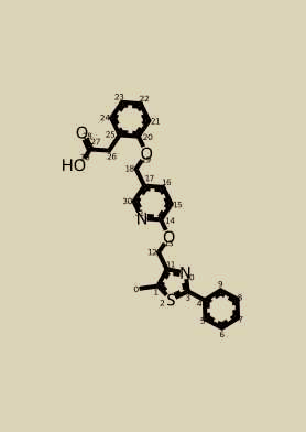 Cc1sc(-c2ccccc2)nc1COc1ccc(COc2ccccc2CC(=O)O)cn1